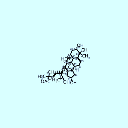 CC(=O)OC(C)(C)/C=C/C(=O)C(C)(O)[C@H]1[C@H](O)C[C@@]2(C)[C@@H]3CC=C4[C@@H](CC[C@H](O)C4(C)C)[C@]3(CO)C(=O)C[C@]12C